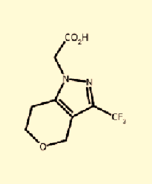 O=C(O)Cn1nc(C(F)(F)F)c2c1CCOC2